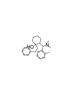 Cc1ccccc1C(C1CCCCC1(O)CCc1ccccc1)N(C)C